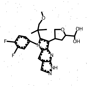 COCC(C)(C)c1c(C2COC(C(O)O)C2)c2nc3[nH]ncc3cc2n1-c1ccc(F)c(F)c1